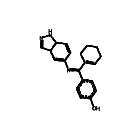 Oc1ccc(/C(=N/C2=CC3C=NNC3C=C2)C2=CCCCC2)cc1